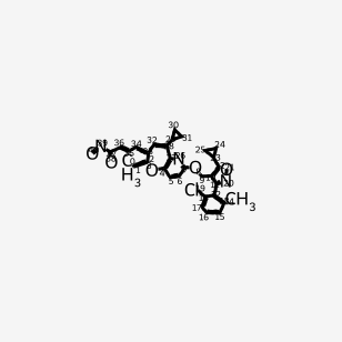 C/C=C1/Oc2ccc(OCc3c(-c4c(C)cccc4Cl)noc3C3CC3)nc2C(C2CC2)=C/C1=C/C=C/C(=O)N=O